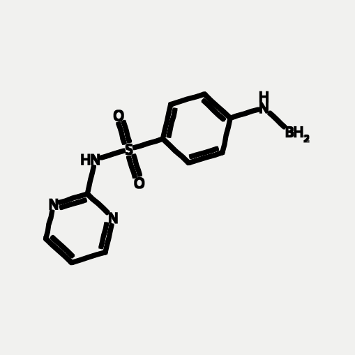 BNc1ccc(S(=O)(=O)Nc2ncccn2)cc1